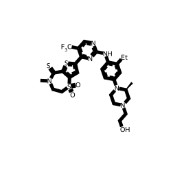 CCc1cc(N2CCN(CCO)C[C@@H]2C)ccc1Nc1ncc(C(F)(F)F)c(-c2cc3c(s2)C(=S)N(C)CCS3(=O)=O)n1